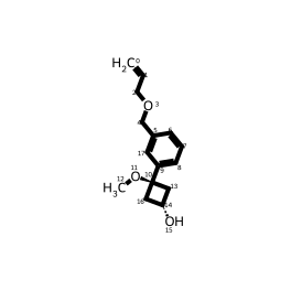 C=CCOCc1cccc([C@]2(OC)C[C@H](O)C2)c1